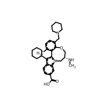 CN[C@H]1COc2c(CN3CCCCC3)ccc(C)c2-c2c(C3CCCCC3)c3ccc(C(=O)O)cc3n2C1